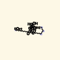 CCCCC/C=C\C/C=C\C/C=C\CCCCC(=O)O[C@H](COC(=O)CCCCCCCCC/C=C\CCCCCCCC)COP(=O)(O)OC[C@@H](O)CO